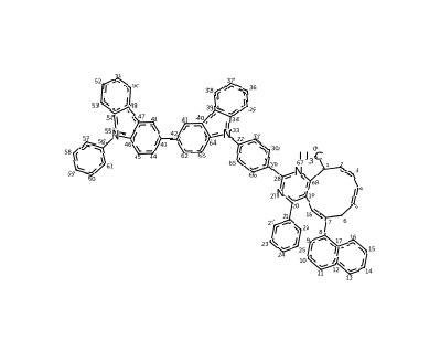 CC1/C=C\C=C/C/C(c2cccc3ccccc23)=C\c2c(-c3ccccc3)nc(-c3ccc(-n4c5ccccc5c5cc(-c6ccc7c(c6)c6ccccc6n7-c6ccccc6)ccc54)cc3)nc21